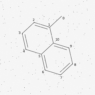 Cc1cc[c]c2ccccc12